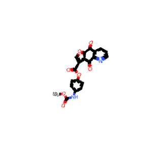 CC(C)(C)OC(=O)Nc1ccc(OC(=O)c2coc3c2C(=O)c2ncccc2C3=O)cc1